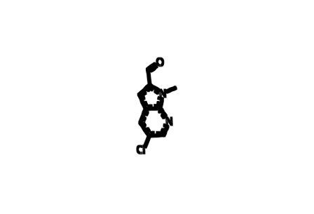 Cn1c(C=O)cc2cc(Cl)cnc21